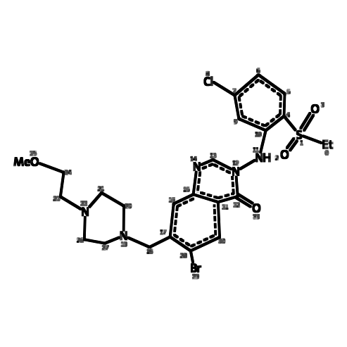 CCS(=O)(=O)c1ccc(Cl)cc1Nn1cnc2cc(CN3CCN(CCOC)CC3)c(Br)cc2c1=O